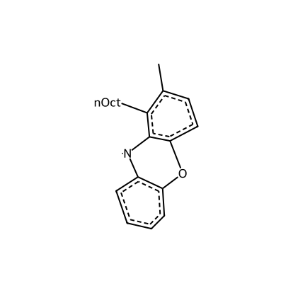 CCCCCCCCc1c(C)ccc2c1[N]c1ccccc1O2